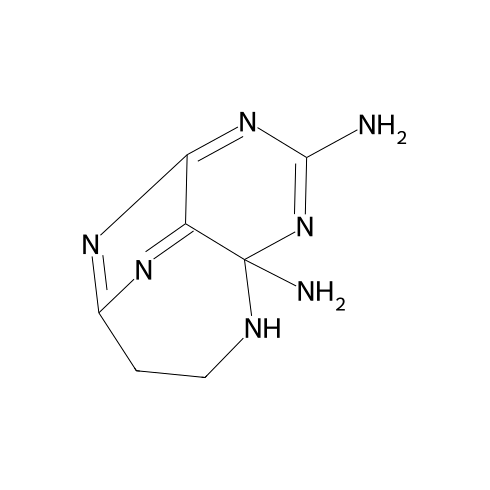 NC1=NC2(N)NCCC3=NC(=N1)C2=N3